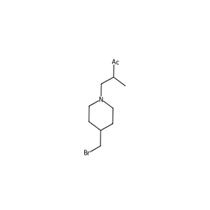 CC(=O)C(C)CN1CCC(CBr)CC1